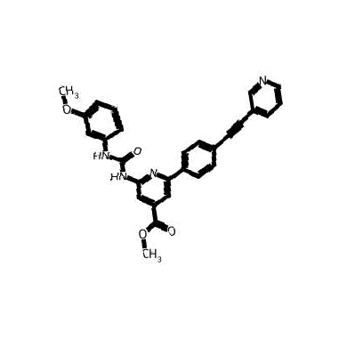 COC(=O)c1cc(NC(=O)Nc2cccc(OC)c2)nc(-c2ccc(C#Cc3cccnc3)cc2)c1